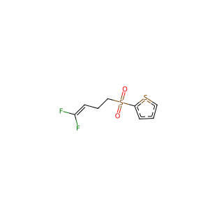 O=S(=O)(CCC=C(F)F)c1cccs1